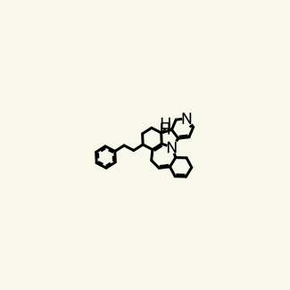 C1=CC2=CCC3=C4[C@H](CCC3CCc3ccccc3)[C@H]3CN=CC=C3N4C2CC1